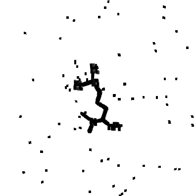 CCCC(CC[CH2][In]([CH2]C)[CH2]C)N(C)C